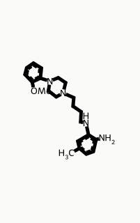 COc1ccccc1N1CCN(CCCCNc2cc(C)ccc2N)CC1